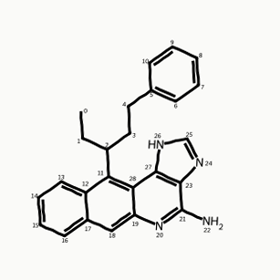 CCC(CCc1ccccc1)c1c2ccccc2cc2nc(N)c3nc[nH]c3c12